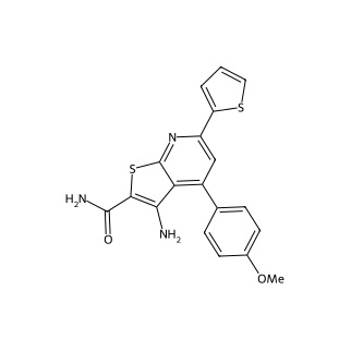 COc1ccc(-c2cc(-c3cccs3)nc3sc(C(N)=O)c(N)c23)cc1